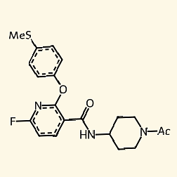 CSc1ccc(Oc2nc(F)ccc2C(=O)NC2CCN(C(C)=O)CC2)cc1